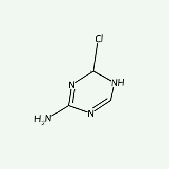 NC1=N[C](Cl)NC=N1